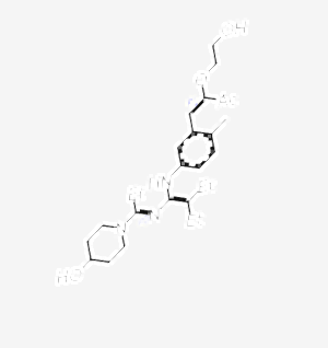 CCC(CC)=C(/N=C(\CC)N1CCC(O)CC1)Nc1ccc(C)c(/C=C(/OCCO)C(C)=O)c1